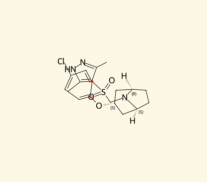 Cc1n[nH]c(C)c1S(=O)(=O)CN1[C@@H]2CC[C@H]1C[C@H](Oc1ccc(Cl)cc1)C2